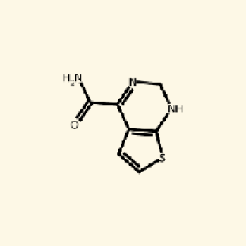 NC(=O)C1=NCNc2sccc21